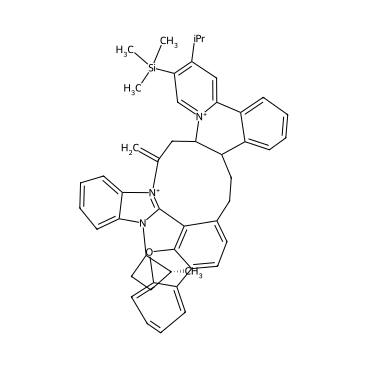 C=C1CC2C(CCc3ccc4c(oc5ccccc54)c3-c3n(C4CC[C@H]4C)c4ccccc4[n+]31)c1ccccc1-c1cc(C(C)C)c([Si](C)(C)C)c[n+]12